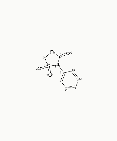 O=C1OCS(=O)(=O)N1c1ccccc1